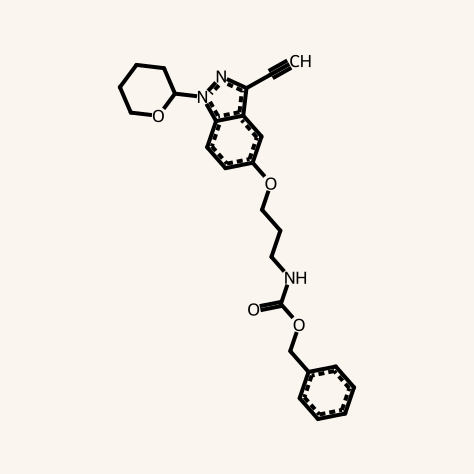 C#Cc1nn(C2CCCCO2)c2ccc(OCCCNC(=O)OCc3ccccc3)cc12